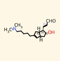 CN(C)CCCCCC1=C[C@H]2C[C@@H](O)[C@H](/C=C/C=O)[C@H]2C1